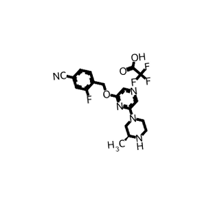 C[C@H]1CN(c2cncc(OCc3ccc(C#N)cc3F)n2)CCN1.O=C(O)C(F)(F)F